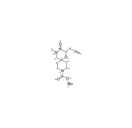 C#CCC1OC2(CCN(C(=O)OC(C)(C)C)CC2)CN(C)C1=O